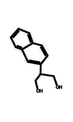 OCC(CO)c1ccc2ccccc2c1